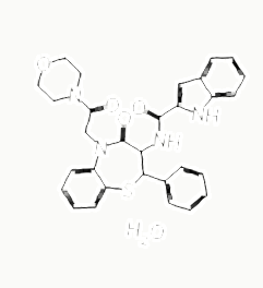 O.O=C(NC1C(=O)N(CC(=O)N2CCOCC2)c2ccccc2SC1c1ccccc1)c1cc2ccccc2[nH]1